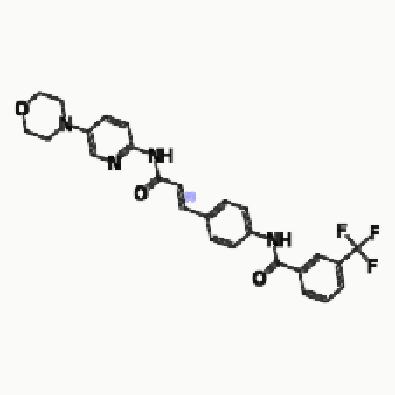 O=C(/C=C/c1ccc(NC(=O)c2cccc(C(F)(F)F)c2)cc1)Nc1ccc(N2CCOCC2)cn1